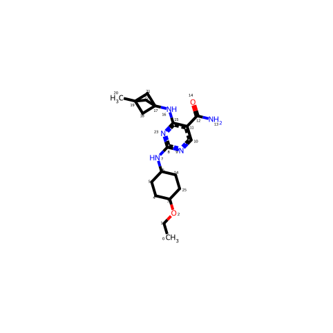 CCOC1CCC(Nc2ncc(C(N)=O)c(NC34CC(C)(C3)C4)n2)CC1